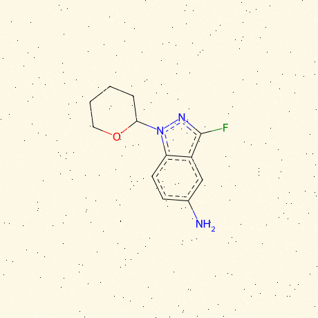 Nc1ccc2c(c1)c(F)nn2C1CCCCO1